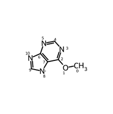 COc1ncnc2c1[N]C=N2